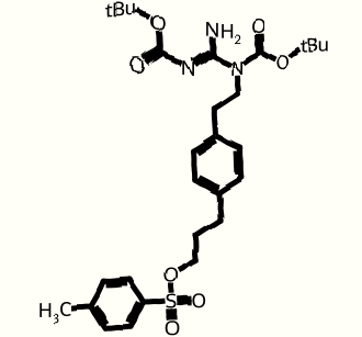 Cc1ccc(S(=O)(=O)OCCCc2ccc(CCN(C(=O)OC(C)(C)C)C(N)=NC(=O)OC(C)(C)C)cc2)cc1